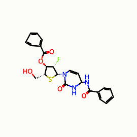 O=C(NC1C=CN([C@@H]2S[C@H](CO)[C@@H](OC(=O)c3ccccc3)[C@@H]2F)C(=O)N1)c1ccccc1